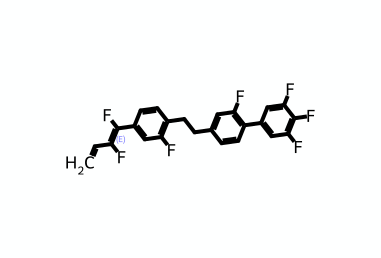 C=C/C(F)=C(\F)c1ccc(CCc2ccc(-c3cc(F)c(F)c(F)c3)c(F)c2)c(F)c1